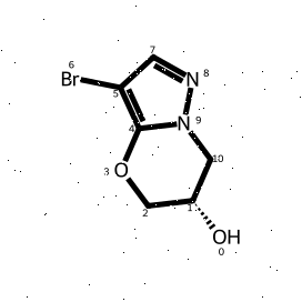 O[C@@H]1COc2c(Br)cnn2C1